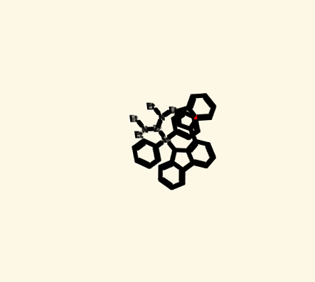 CC[N](CC)[Zr]([N](CC)CC)[Sn]([c]1ccccc1)([c]1ccccc1)[CH]1c2ccccc2-c2cccc(C3C=Cc4ccccc43)c21